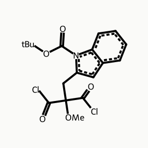 COC(Cc1cc2ccccc2n1C(=O)OC(C)(C)C)(C(=O)Cl)C(=O)Cl